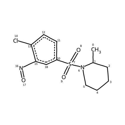 CC1CCCCN1S(=O)(=O)c1ccc(Cl)c(N=O)c1